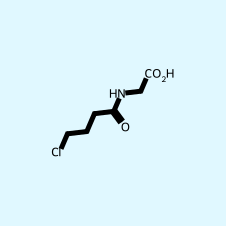 O=C(O)CNC(=O)CCCCl